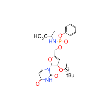 CC(N[P@](=O)(OCC1=C[C@@H](O[Si](C)(C)C(C)(C)C)[C@H](n2ccc(=O)[nH]c2=O)O1)Oc1ccccc1)C(=O)O